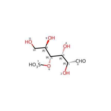 O=C[C@H](O)[C@@H](O)[C@H](OS(=O)(=O)O)[C@H](O)CO